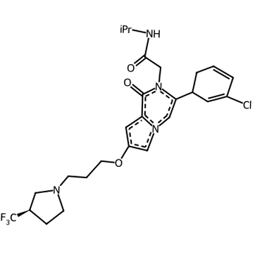 CC(C)NC(=O)Cn1c(C2C=C(Cl)C=CC2)cn2cc(OCCCN3CC[C@@H](C(F)(F)F)C3)cc2c1=O